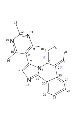 C/C=c1\c(=C/C)n2c(-c3c(C)nc(C)nc3C)cnc2c2ccccc12